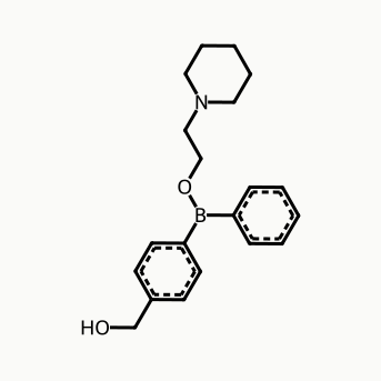 OCc1ccc(B(OCCN2CCCCC2)c2ccccc2)cc1